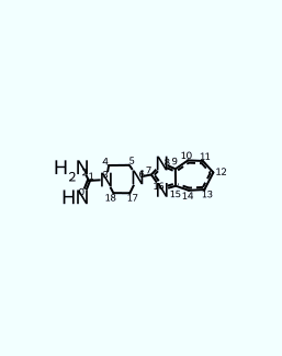 N=C(N)N1CCN(c2nc3cccccc-3n2)CC1